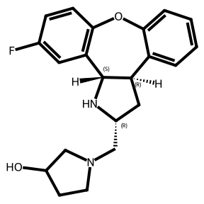 OC1CCN(C[C@H]2C[C@@H]3c4ccccc4Oc4ccc(F)cc4[C@H]3N2)C1